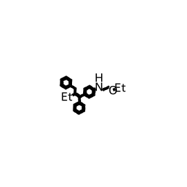 CCOCCNc1ccc(C(=C(CC)Cc2ccccc2)c2ccccc2)cc1